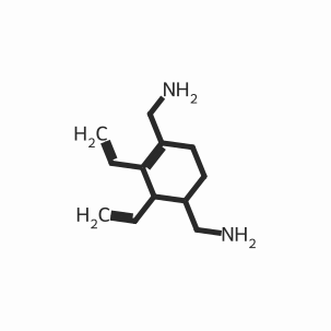 C=CC1=C(CN)CCC(CN)C1C=C